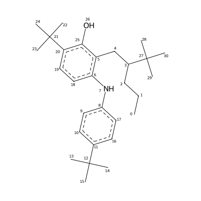 CCCC(Cc1c(Nc2ccc(C(C)(C)C)cc2)ccc(C(C)(C)C)c1O)C(C)(C)C